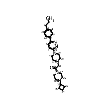 CCCc1ccc(-c2ccc(N3CCN(CC(=O)N4CCN(C5CCC5)CC4)CC3)nn2)cc1